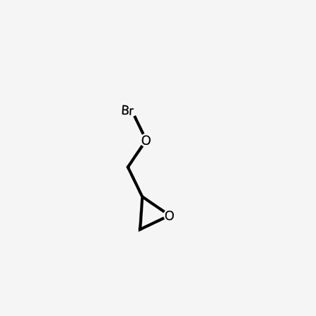 BrOCC1CO1